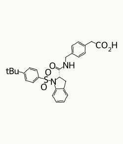 CC(C)(C)c1ccc(S(=O)(=O)N2c3ccccc3C[C@H]2C(=O)NCc2ccc(CC(=O)O)cc2)cc1